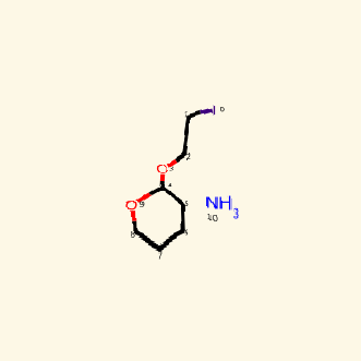 ICCOC1CCCCO1.N